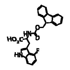 O=C(NC(Cc1c[nH]c2cccc(F)c12)C(=O)O)OCC1c2ccccc2-c2ccccc21